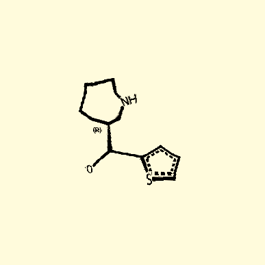 [O]C(c1cccs1)[C@H]1CCCN1